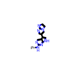 CC(C)Nc1ncc2c(-c3cnc4nccn4c3)c[nH]c2n1